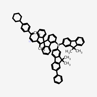 C=C(/C=C\C1=C(C)C2(c3ccccc31)c1ccccc1-c1c(N(c3ccc4c(c3)C(C)(C)c3ccccc3-4)c3ccc4c(c3)C(C)(C)c3cc(-c5ccccc5)ccc3-4)cccc12)c1ccc(C2CCCCC2)cc1